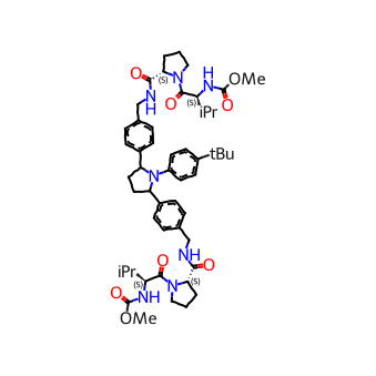 COC(=O)N[C@H](C(=O)N1CCC[C@H]1C(=O)NCc1ccc(C2CCC(c3ccc(CNC(=O)[C@@H]4CCCN4C(=O)[C@@H](NC(=O)OC)C(C)C)cc3)N2c2ccc(C(C)(C)C)cc2)cc1)C(C)C